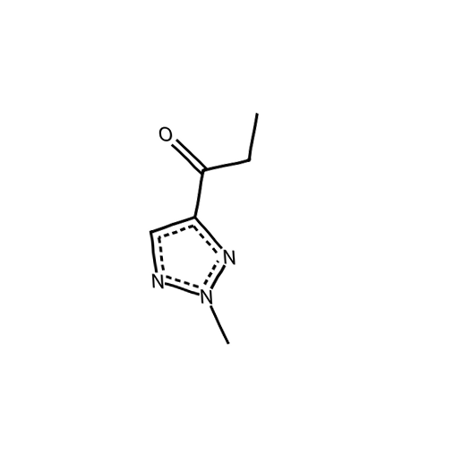 CCC(=O)c1cnn(C)n1